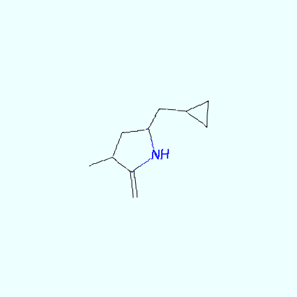 C=C1NC(CC2CC2)CC1C